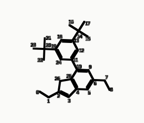 CCC1=Cc2cc(CC)cc(-c3cc(C(C)(C)C)cc(C(C)(C)C)c3)c2C1